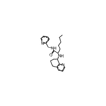 CCCCCC(NC1CCCc2cccnc21)C(=O)NCc1ccccn1